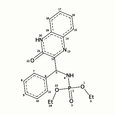 CCOP(=O)(NC(c1ccccc1)c1nc2ccccc2[nH]c1=O)OCC